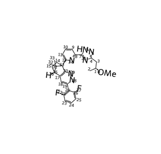 CO[C@@H](C)Cc1n[nH]c(-c2cccc([C@@]34CC[C@@H](c5cc(-c6c(F)cccc6F)nnc53)C4(C)C)n2)n1